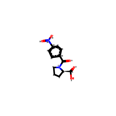 O=C(O)[C@@H]1CCCN1C(=O)c1ccc([N+](=O)[O-])cc1